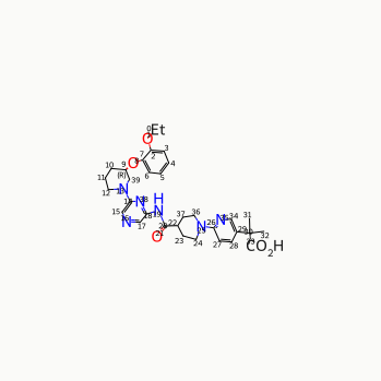 CCOc1ccccc1O[C@@H]1CCCN(c2cncc(NC(=O)C3CCN(c4ccc(C(C)(C)C(=O)O)cn4)CC3)n2)C1